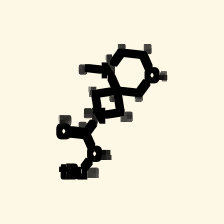 CN1CCOCC12CN(C(=O)OC(C)(C)C)C2